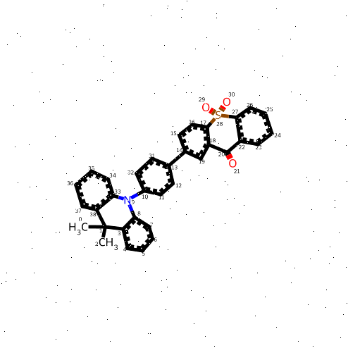 CC1(C)c2ccccc2N(c2ccc(-c3ccc4c(c3)C(=O)c3ccccc3S4(=O)=O)cc2)c2ccccc21